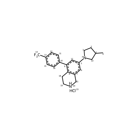 CC1CCN(c2cc3c(c(-c4ccc(C(F)(F)F)cc4)c2)CCNC3)C1.Cl